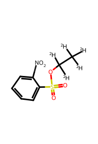 [2H]C([2H])([2H])C([2H])([2H])OS(=O)(=O)c1ccccc1[N+](=O)[O-]